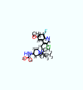 COc1cc(F)c2ncc(Cl)c(CC[N+]3(C(C)(C)C)CCC(NC(=O)[O-])CC3)c2c1